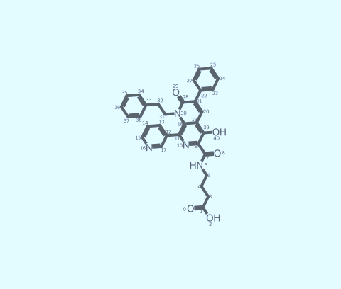 O=C(O)CCCNC(=O)c1nc(-c2cccnc2)c2c(cc(-c3ccccc3)c(=O)n2CCc2ccccc2)c1O